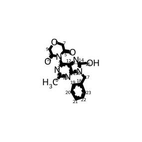 Cc1nc(N2C(=O)COCC2=O)c2nc(O)n(Cc3ccccc3)c2n1